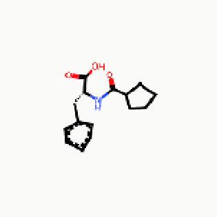 O=C(N[C@H](Cc1ccccc1)C(=O)O)C1CCCC1